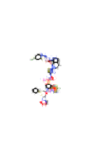 O=C(NS(=O)(=O)c1ccc(N[C@H](CCN2CCOCC2)CSc2ccccc2)c(S(=O)(=O)C(F)(F)Cl)c1)c1csc(N2CCc3cccc(C(=O)Nc4nc5ccc(F)cc5s4)c3C2)n1